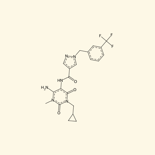 Cn1c(N)c(NC(=O)c2cnn(Cc3cccc(C(F)(F)F)c3)c2)c(=O)n(CC2CC2)c1=O